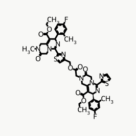 CCOC(=O)C1=C2CN(C)C(=O)CN2C(c2nc(COC(=O)CN3CC4=C(C(=O)OCC)[C@H](c5ccc(F)cc5C)N=C(c5nccs5)N4CC3=O)cs2)=NC1c1ccc(F)cc1C